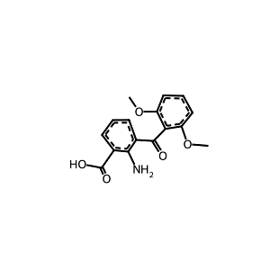 COc1cccc(OC)c1C(=O)c1cccc(C(=O)O)c1N